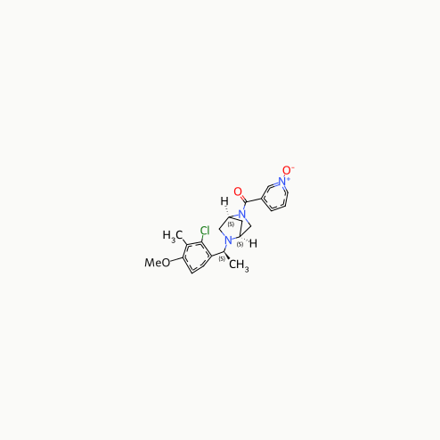 COc1ccc([C@H](C)N2C[C@@H]3C[C@H]2CN3C(=O)c2ccc[n+]([O-])c2)c(Cl)c1C